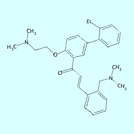 CCc1ccccc1-c1ccc(OCCN(C)C)c(C(=O)C=Cc2ccccc2CN(C)C)c1